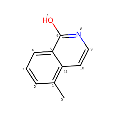 Cc1cccc2c(O)nccc12